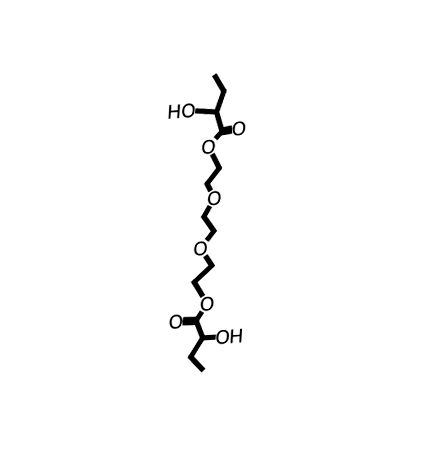 CCC(O)C(=O)OCCOCCOCCOC(=O)C(O)CC